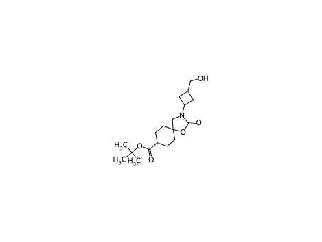 CC(C)(C)OC(=O)C1CCC2(CC1)CN(C1CC(CO)C1)C(=O)O2